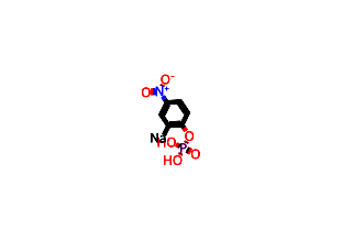 O=[N+]([O-])c1ccc(OP(=O)(O)O)[c]([Na])c1